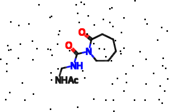 CC(=O)NCNC(=O)N1CCCCCC1=O